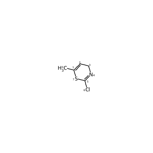 CC1=CCN=C(Cl)S1